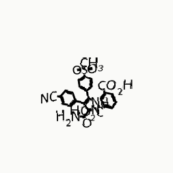 CS(=O)(=O)c1ccc(-c2[nH]nc(C(N)=O)c2-c2ccc(C#N)cc2)cc1.O=C(O)c1cccc(C(=O)O)c1